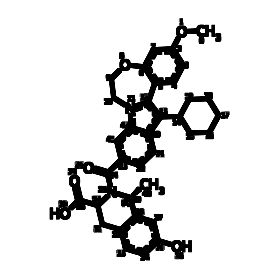 COc1ccc2c(c1)OCCn1c-2c(C2CCCCC2)c2ccc(C(=O)N3C(C(=O)O)Cc4ccc(O)cc4[C@@H]3C)cc21